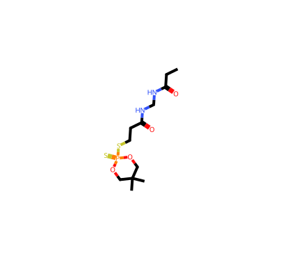 CCC(=O)NCNC(=O)CCSP1(=S)OCC(C)(C)CO1